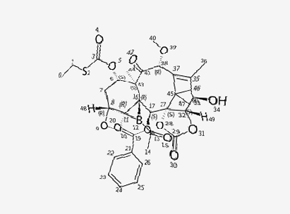 CCSC(=O)O[C@H]1C[C@H]2OC[C@]23B(C(C)=O)[C@@]32[C@H](OC(=O)c3ccccc3)[C@]34OC(=O)O[C@H]3[C@H](O)C(C)=C([C@@H](OC)C(=O)[C@]12C)C4(C)C